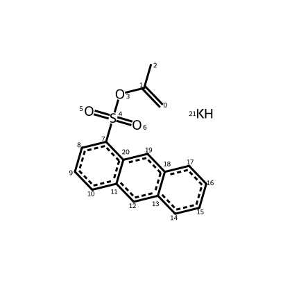 C=C(C)OS(=O)(=O)c1cccc2cc3ccccc3cc12.[KH]